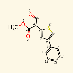 COC(=O)C(C=O)c1cc(-c2ccccc2)cs1